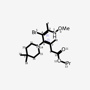 CON/C(C)=C(Br)\C(=C(/C)CC(=O)OC(C)C)N1CCC(C)(C)CC1